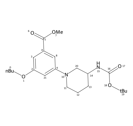 CCCCOc1cc(C(=O)OC)cc(N2CCCC(NC(=O)OC(C)(C)C)C2)c1